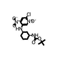 CC(C)(C)OC(=O)N[C@H]1CCC[C@@H](Nc2c[n+]([O-])c(Cl)cc2[N+](=O)[O-])C1